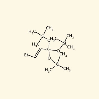 CCC=C[Si](O[Si](C)(C)C)(O[Si](C)(C)C)O[Si](C)(C)C